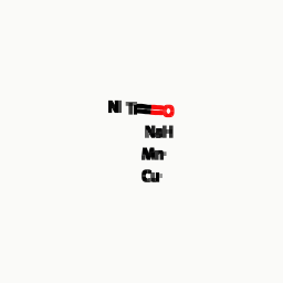 [Cu].[Mn].[NaH].[Ni].[O]=[Ti]